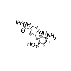 CC(C)NC(=O)C1CCC(Nc2cc(CO)ccc2N)CC1